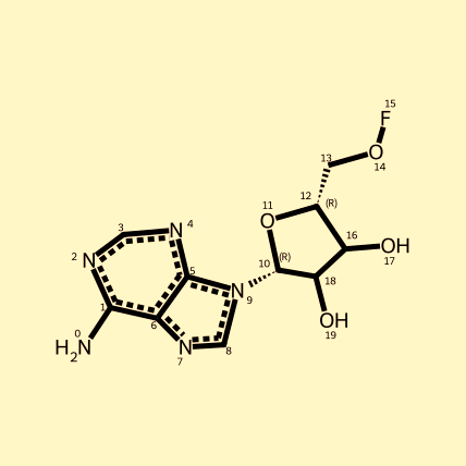 Nc1ncnc2c1ncn2[C@@H]1O[C@H](COF)C(O)C1O